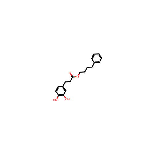 O=C(CCc1ccc(O)c(O)c1)OCCCCc1ccccc1